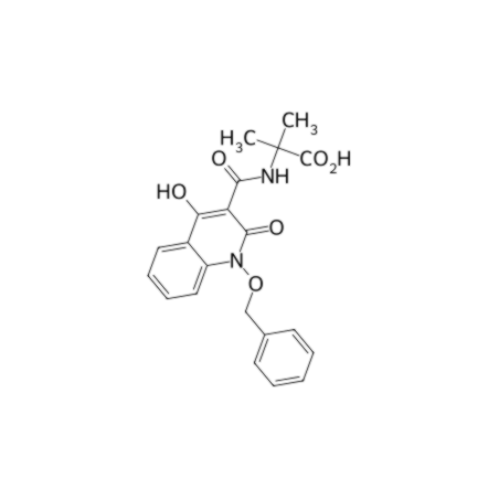 CC(C)(NC(=O)c1c(O)c2ccccc2n(OCc2ccccc2)c1=O)C(=O)O